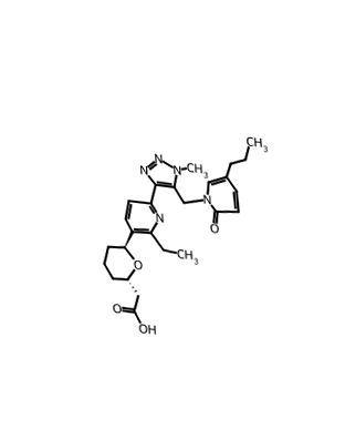 CCCc1ccc(=O)n(Cc2c(-c3ccc([C@@H]4CCC[C@@H](CC(=O)O)O4)c(CC)n3)nnn2C)c1